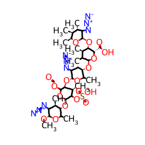 CO[C@H]1OC(C)[C@@H](O[C@@H]2OC(OC=O)[C@@H](O[C@H]3OC(C)[C@@H](O[C@@H]4O[C@@H](C(=O)O)[C@@H](O[C@H]5O[C@@H](C)[C@@H](C)[C@H](C)C5N=[N+]=[N-])[C@H](C)C4C)CC3N=[N+]=[N-])[C@H](C)C2OS(=O)(=O)O)[C@H](C)C1N=[N+]=[N-]